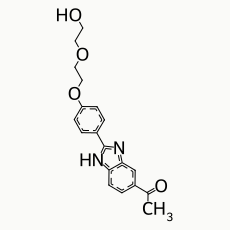 CC(=O)c1ccc2[nH]c(-c3ccc(OCCOCCO)cc3)nc2c1